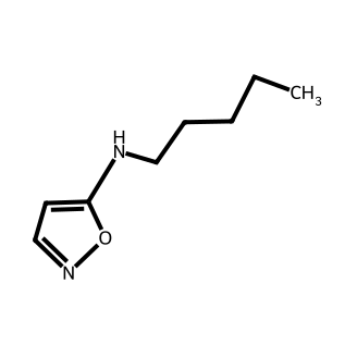 CCCCCNc1ccno1